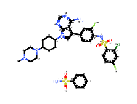 CN1CCN(C2CCC(n3cc(-c4ccc(NS(=O)(=O)c5ccc(F)cc5Cl)c(F)c4)c4c(N)ncnc43)CC2)CC1.NS(=O)(=O)c1ccccc1